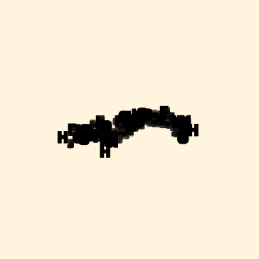 CCN(C)S(=O)(=O)Nc1ccc(F)c(C(=O)c2c[nH]c3ncc(-c4ccc(N5CCN(C(=O)CC6(O)CCN(c7ccc(NC8CCC(=O)NC8=O)cc7F)CC6)CC5)c(C(C)(F)F)c4)cc23)c1F